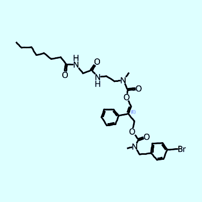 CCCCCCCC(=O)NCC(=O)NCCN(C)C(=O)O/C=C(/COC(=O)N(C)Cc1ccc(Br)cc1)c1ccccc1